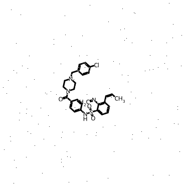 C=Nc1c(/C=C\C)cccc1S(=O)(=O)Nc1ccc(C(=O)N2CCN(Cc3ccc(Cl)cc3)CC2)cc1